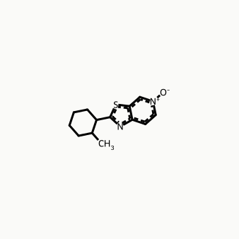 CC1CCCCC1c1nc2cc[n+]([O-])cc2s1